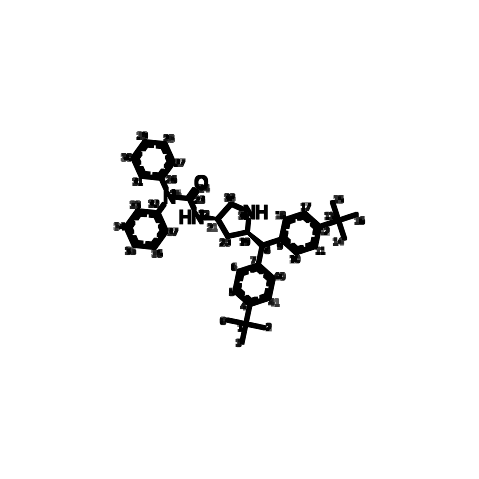 CC(C)(C)c1ccc(C(c2ccc(C(C)(C)C)cc2)[C@H]2C[C@@H](NC(=O)N(c3ccccc3)c3ccccc3)CN2)cc1